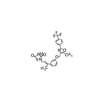 C/C(=C\Cn1sc(=O)[nH]c1=O)c1cccc(OCc2nc(-c3ccc(C(F)(F)F)cc3)oc2C)c1